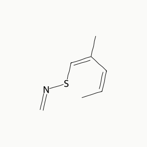 C=NS/C=C(C)\C=C/C